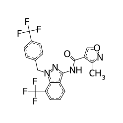 Cc1nocc1C(=O)Nc1nn(Cc2ccc(C(F)(F)F)cc2)c2c(C(F)(F)F)cccc12